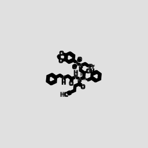 C#CCCC(=O)N(NC(=O)CNCc1ccccc1)[C@@H](Cc1ccccc1)[C@H](O)CN(CC(C)C)S(=O)(=O)c1ccc2c(c1)OCO2